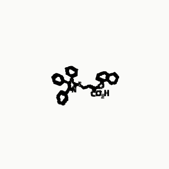 O=C(O)C(CCSc1nc(-c2ccccc2)c(-c2ccccc2)n1-c1ccccc1)Oc1cccc2c1CCCC2